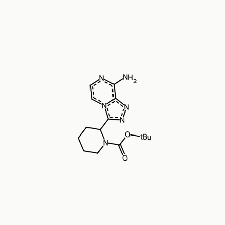 CC(C)(C)OC(=O)N1CCCCC1c1nnc2c(N)nccn12